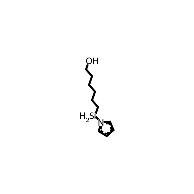 OCCCCCC[SiH2]n1cccc1